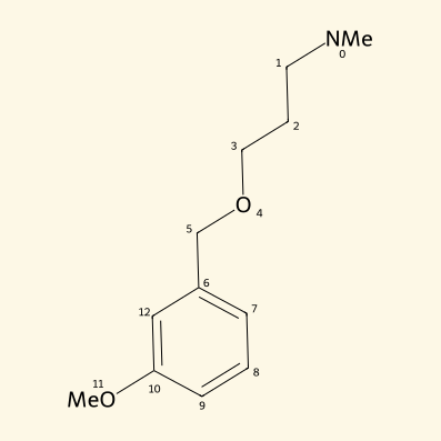 CNCCCOCc1cccc(OC)c1